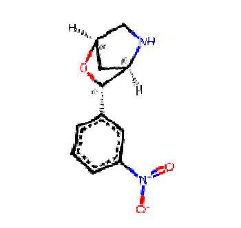 O=[N+]([O-])c1cccc([C@@H]2O[C@H]3CN[C@@H]2C3)c1